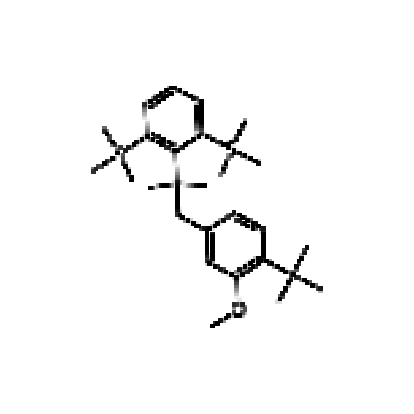 COc1cc(CC(C)(C)c2c(S(C)(C)C)cccc2S(C)(C)C)ccc1C(C)(C)C